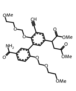 C#Cc1cc(C(CC(=O)OC)C(=O)OC)cc(-c2cc(C(N)=O)ccc2OCOCCOC)c1OCOCCOC